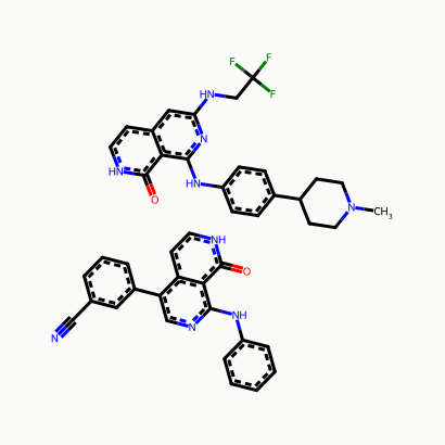 CN1CCC(c2ccc(Nc3nc(NCC(F)(F)F)cc4cc[nH]c(=O)c34)cc2)CC1.N#Cc1cccc(-c2cnc(Nc3ccccc3)c3c(=O)[nH]ccc23)c1